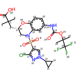 CC(C)(C[C@H]1CN(S(=O)(=O)c2cn(C3CC3)nc2Cl)c2cc(NC(=O)OC(C)(C)C(F)(F)F)ccc2O1)C(=O)O